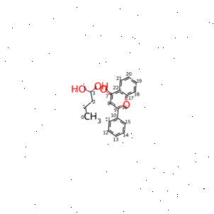 CCCC(O)O.O=c1cc(-c2ccccc2)oc2ccccc12